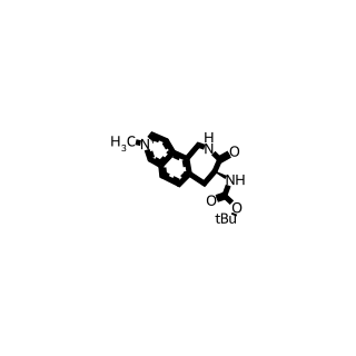 C[n+]1ccc2c3c(ccc2c1)C[C@H](NC(=O)OC(C)(C)C)C(=O)NC3